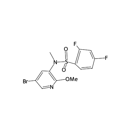 COc1ncc(Br)cc1N(C)S(=O)(=O)c1ccc(F)cc1F